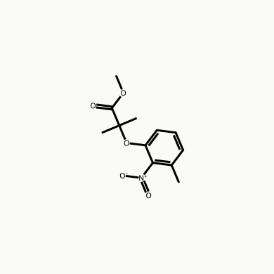 COC(=O)C(C)(C)Oc1cccc(C)c1[N+](=O)[O-]